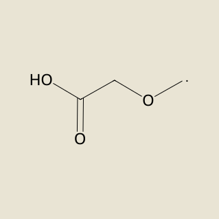 [CH2]OCC(=O)O